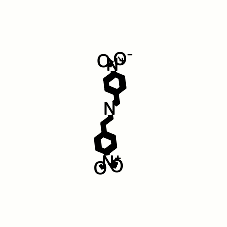 O=[N+]([O-])c1ccc(C=NCCc2ccc([N+](=O)[O-])cc2)cc1